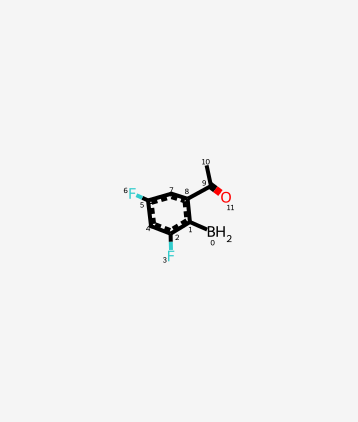 Bc1c(F)cc(F)cc1C(C)=O